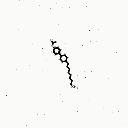 CCCCCCCCCC1CCC(c2ccc(OC(F)F)cc2)CC1